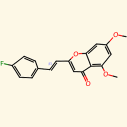 COc1cc(OC)c2c(=O)cc(/C=C/c3ccc(F)cc3)oc2c1